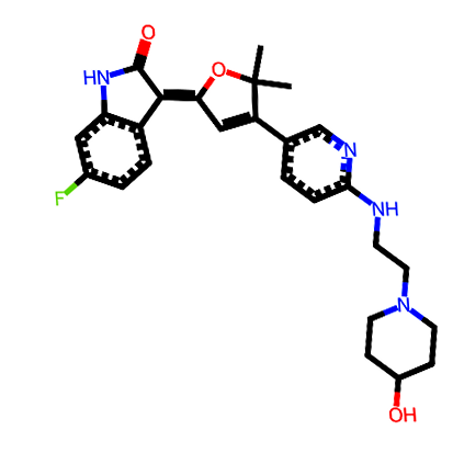 CC1(C)OC(=C2C(=O)Nc3cc(F)ccc32)C=C1c1ccc(NCCN2CCC(O)CC2)nc1